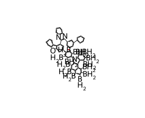 Bc1c(B)c(-n2c3c(B)c(B)c(B)c(B)c3c3c4c(B)c(B)c(B)c(B)c4c(B)c(B)c32)c(B)c(B)c1-c1cc(-c2nc3ccccc3nc2-c2cccc(-c3ccccc3)c2)c2c(c1)oc1ccccc12